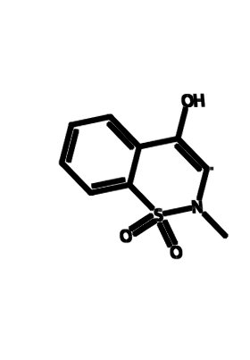 CN1[C]=C(O)c2ccccc2S1(=O)=O